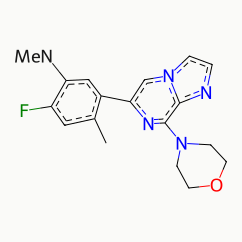 CNc1cc(-c2cn3ccnc3c(N3CCOCC3)n2)c(C)cc1F